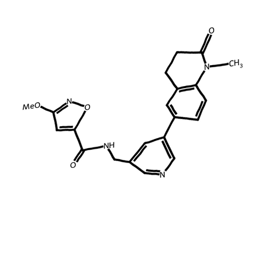 COc1cc(C(=O)NCc2cncc(-c3ccc4c(c3)CCC(=O)N4C)c2)on1